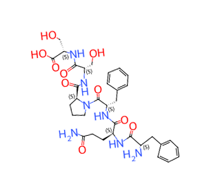 NC(=O)CC[C@H](NC(=O)[C@@H](N)Cc1ccccc1)C(=O)N[C@@H](Cc1ccccc1)C(=O)N1CCC[C@H]1C(=O)N[C@@H](CO)C(=O)N[C@@H](CO)C(=O)O